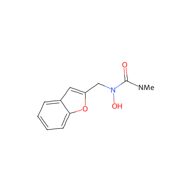 CNC(=O)N(O)Cc1cc2ccccc2o1